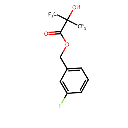 O=C(OCc1cccc(F)c1)C(O)(C(F)(F)F)C(F)(F)F